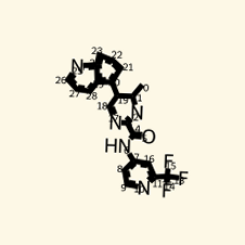 CC1N=C(C(=O)Nc2ccnc(C(F)(F)F)c2)N=CC1c1cccc2ncccc12